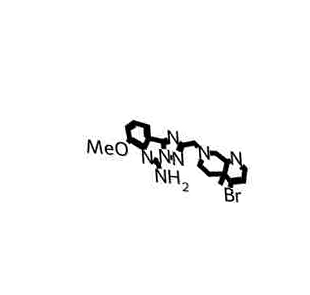 COc1cccc2c1nc(N)n1nc(CN3CCC4(C)C(Br)=CC=NC4C3)nc21